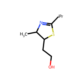 CC(C)C1=NC(C)C(CCO)S1